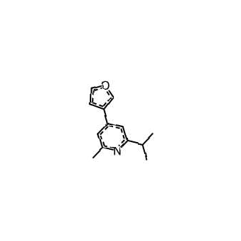 Cc1cc(-c2ccoc2)cc(C(C)C)n1